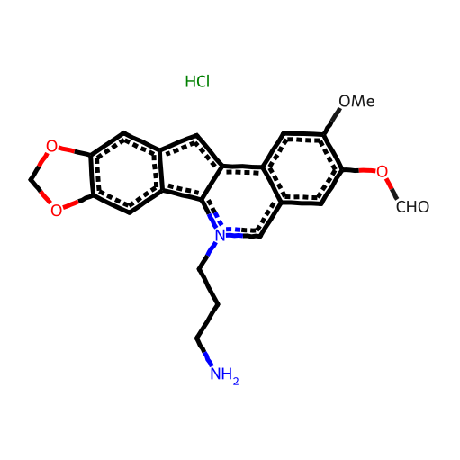 COc1cc2c3cc4cc5c(cc4c-3n(CCCN)cc2cc1OC=O)OCO5.Cl